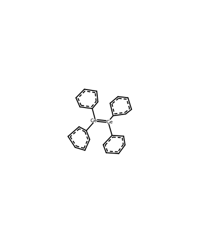 c1cc[c]([Ge]([c]2ccccc2)=[Ge]([c]2ccccc2)[c]2ccccc2)cc1